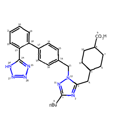 CCCCc1nc(CC2CCC(C(=O)O)CC2)n(Cc2ccc(-c3ccccc3-c3nnn[nH]3)cc2)n1